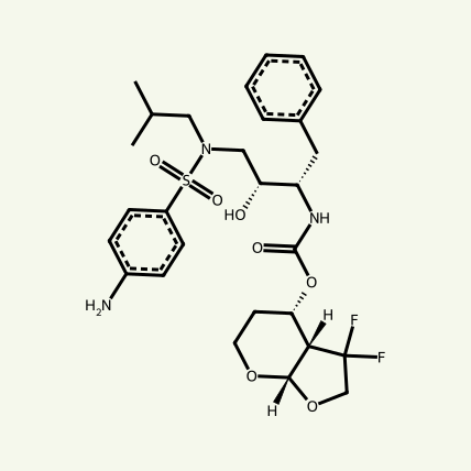 CC(C)CN(C[C@@H](O)[C@H](Cc1ccccc1)NC(=O)O[C@H]1CCO[C@H]2OCC(F)(F)[C@H]21)S(=O)(=O)c1ccc(N)cc1